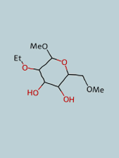 CCOC1C(OC)OC(COC)C(O)C1O